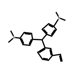 C=Cc1cccc(C(c2ccc(N(C)C)cc2)c2ccc(N(C)C)cc2)c1